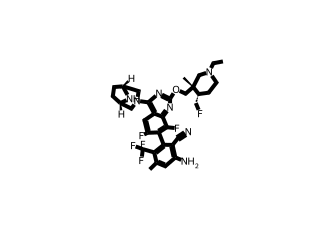 CCN1CC[C@H](CF)[C@](C)(COc2nc(N3C[C@H]4CC[C@@H](C3)N4)c3cc(F)c(-c4c(C#N)c(N)cc(C)c4C(F)(F)F)c(F)c3n2)C1